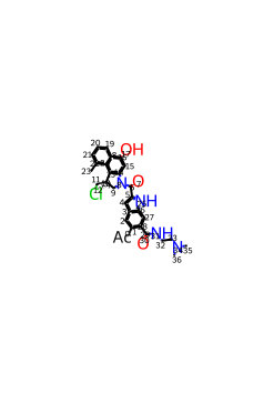 CC(=O)c1cc2cc(C(=O)N3C[C@@H](CCl)c4c3cc(O)c3cccc(C)c43)[nH]c2cc1C(=O)NCCN(C)C